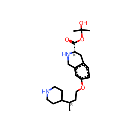 C[C@H](CCOc1ccc2c(c1)CN[C@H](C(=O)OC(C)(C)O)C2)C1CCNCC1